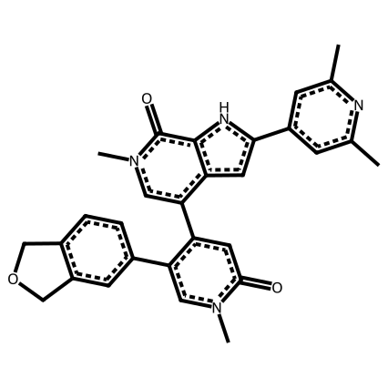 Cc1cc(-c2cc3c(-c4cc(=O)n(C)cc4-c4ccc5c(c4)COC5)cn(C)c(=O)c3[nH]2)cc(C)n1